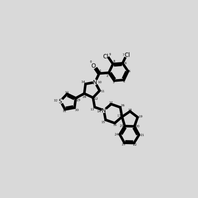 O=C(c1cccc(Cl)c1Cl)N1CC(CN2CCC3(CCc4ccccc43)CC2)C(c2ccsc2)C1